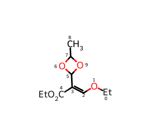 CCO/C=C(/C(=O)OCC)C1OC(C)O1